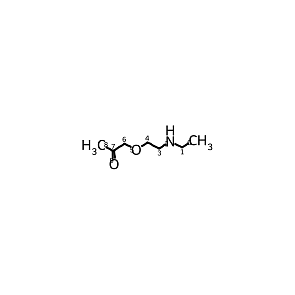 CCNCCOCC(C)=O